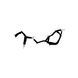 C=CC(=O)OCC1CC2CC1C1OC21